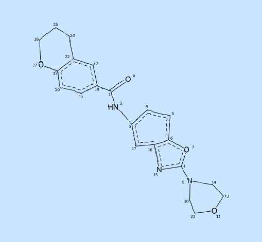 O=C(Nc1ccc2oc(N3CCOCC3)nc2c1)c1ccc2c(c1)CCCO2